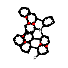 Fc1ccccc1-c1cccc2cccc(-c3ccccc3N(c3cc(-c4ccccc4)cc(-c4ccccc4)c3)c3ccccc3-c3ccccc3)c12